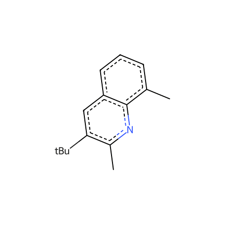 Cc1nc2c(C)cccc2cc1C(C)(C)C